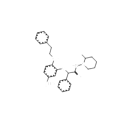 CCC1CCCCN1NC(=O)C(Oc1cc(C=O)ccc1OCCc1ccccc1)c1ccccc1